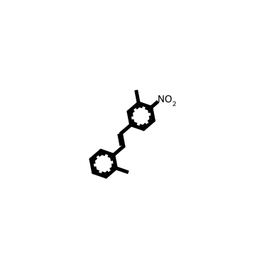 Cc1ccccc1C=Cc1ccc([N+](=O)[O-])c(C)c1